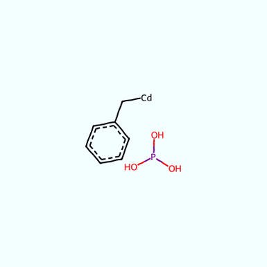 OP(O)O.[Cd][CH2]c1ccccc1